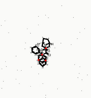 O=C(N1C[C@H]2CC[C@@H](C1)N2C(=O)Nc1ccccc1)N(c1ccccc1)c1ccccc1